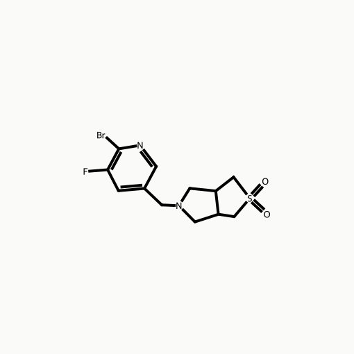 O=S1(=O)CC2CN(Cc3cnc(Br)c(F)c3)CC2C1